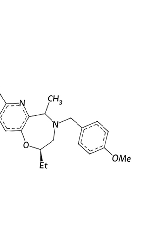 CC[C@@H]1CN(Cc2ccc(OC)cc2)C(C)c2nc(Cl)ccc2O1